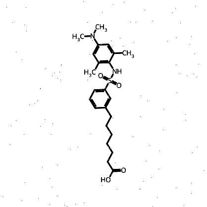 Cc1cc(N(C)C)cc(C)c1NS(=O)(=O)c1cccc(CCCCCCC(=O)O)c1